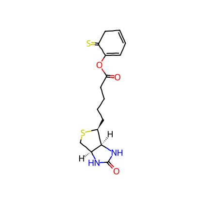 O=C1N[C@H]2[C@H](CS[C@H]2CCCCC(=O)OC2=CC=CCC2=S)N1